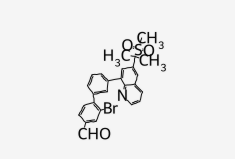 CC(C)(c1cc(-c2cccc(-c3ccc(C=O)cc3Br)c2)c2ncccc2c1)S(C)(=O)=O